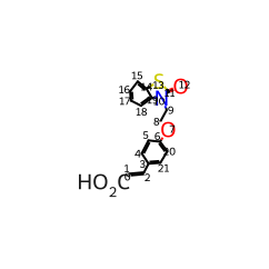 O=C(O)C=Cc1ccc(OCCn2c(=O)sc3ccccc32)cc1